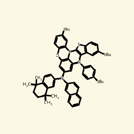 CC(C)(C)c1ccc(N2c3cc(N(c4ccc5c(c4)C(C)(C)CCC5(C)C)c4ccc5ccccc5c4)cc4c3B(c3cc(C(C)(C)C)ccc3O4)c3sc4ccc(C(C)(C)C)cc4c32)cc1